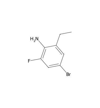 CCc1cc(Br)cc(F)c1N